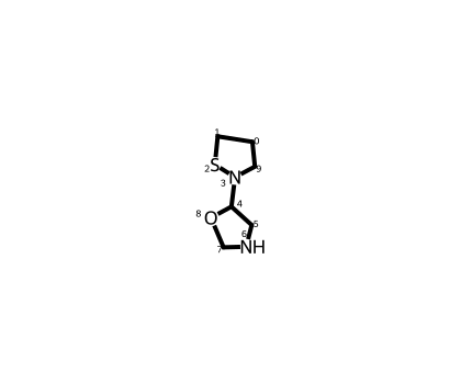 C1CSN(C2CNCO2)C1